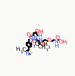 Cc1ncsc1-c1ccc(CNC(=O)[C@@H]2C[C@@H](O)CN2C(=O)[C@@H](NC(=O)CCOCCNC(=O)O)C(C)(C)C)cc1